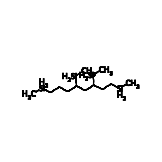 C[SiH2]CCCC(CC(CC[SiH2]C)[SiH2]C)[SiH2]C